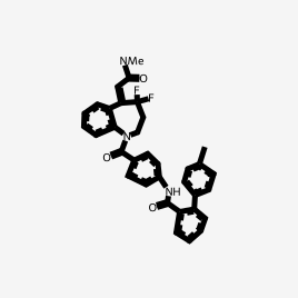 CNC(=O)C=C1c2ccccc2N(C(=O)c2ccc(NC(=O)c3ccccc3-c3ccc(C)cc3)cc2)CCC1(F)F